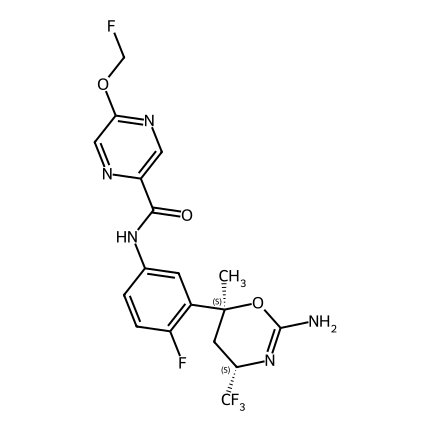 C[C@@]1(c2cc(NC(=O)c3cnc(OCF)cn3)ccc2F)C[C@@H](C(F)(F)F)N=C(N)O1